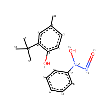 Cc1ccc(O)c(C(C)(C)C)c1.O=NN(O)c1ccccc1